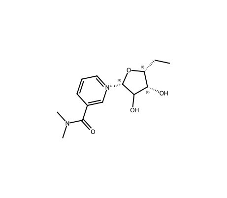 CC[C@H]1O[C@@H]([n+]2cccc(C(=O)N(C)C)c2)C(O)[C@H]1O